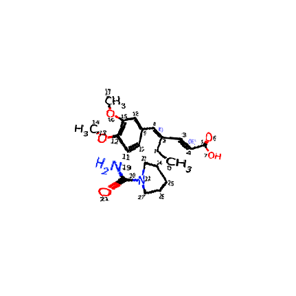 CCC(/C=C/C(=O)O)=C\c1ccc(OC)c(OC)c1.NC(=O)N1CCCCC1